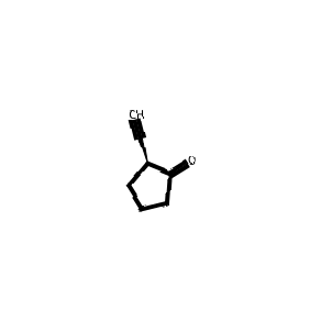 C#C[C@@H]1CCCC1=O